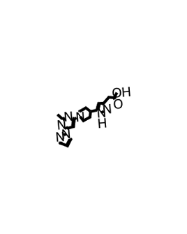 Cc1nc(N2CCC(c3cc(CC(=O)O)n[nH]3)CC2)cc(-n2cccn2)n1